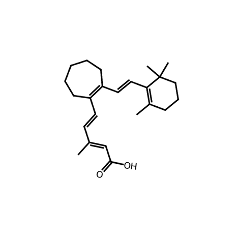 CC(C=CC1=C(C=CC2=C(C)CCCC2(C)C)CCCCC1)=CC(=O)O